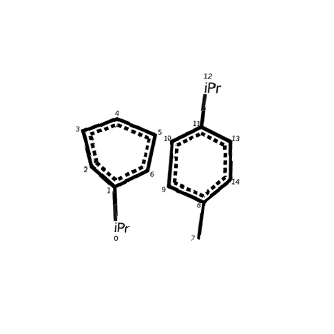 CC(C)c1ccccc1.Cc1ccc(C(C)C)cc1